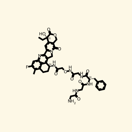 CC[C@@]1(O)C(=O)OCc2c1cc1n(c2=O)Cc2c-1nc1cc(F)c(C)c3c1c2[C@@H](NC(=O)CONC(=O)CNC(=O)[C@H](Cc1ccccc1)NC(=O)CNC(=O)CN)CC3